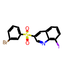 O=S(=O)(c1cccc(Br)c1)c1cnc2c(I)cccc2c1